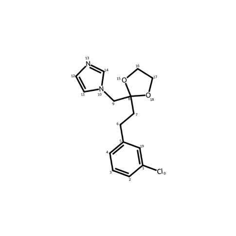 Clc1cccc(CCC2(Cn3ccnc3)OCCO2)c1